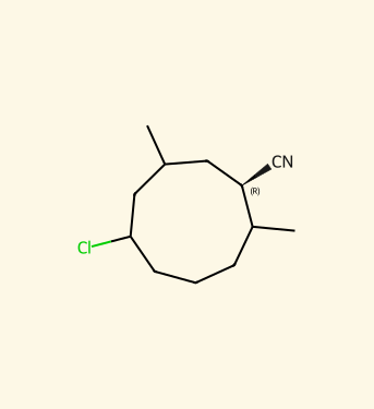 CC1CC(Cl)CCCC(C)[C@H](C#N)C1